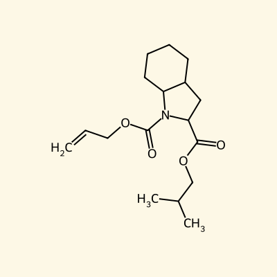 C=CCOC(=O)N1C(C(=O)OCC(C)C)CC2CCCCC21